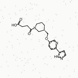 O=C(O)CCC(=O)N1CCC[C@@H](COc2ccc(-c3ccn[nH]3)nc2)C1